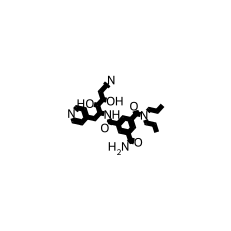 CCCN(CCC)C(=O)c1cc(C(N)=O)cc(C(=O)NC(Cc2ccncc2)C(O)C(O)CC#N)c1